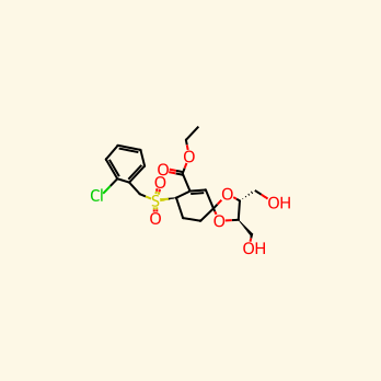 CCOC(=O)C1=CC2(CC[C@H]1S(=O)(=O)Cc1ccccc1Cl)O[C@H](CO)[C@@H](CO)O2